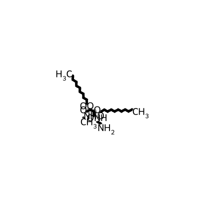 CCCCCCCCCCC(=O)O[C@@H](C(=O)NCC)[C@@H](OC(=O)CCCCCCCCCC)C(=O)NCCN